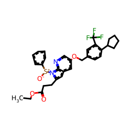 CCOC(=O)CCc1cc2cc(OCc3ccc(C4CCCC4)c(C(F)(F)F)c3)cnc2n1[S+]([O-])c1ccccc1